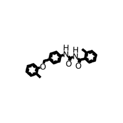 Cc1ccccc1OCc1ccc(NC(=O)NC(=O)c2ccccc2C)cc1